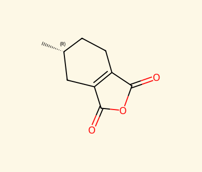 C[C@@H]1CCC2=C(C1)C(=O)OC2=O